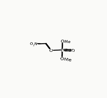 COP(=O)(OC)OC[N+](=O)[O-]